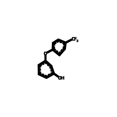 Oc1cccc(Oc2ccc(C(F)(F)F)cc2)c1